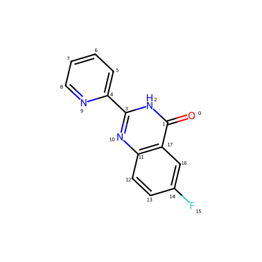 O=c1[nH]c(-c2ccccn2)nc2ccc(F)cc12